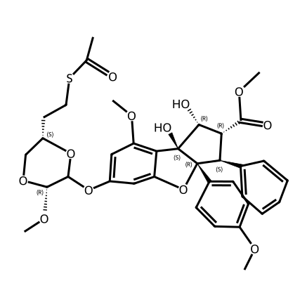 COC(=O)[C@H]1[C@@H](O)[C@@]2(O)c3c(OC)cc(OC4O[C@@H](CCSC(C)=O)CO[C@H]4OC)cc3O[C@@]2(c2ccc(OC)cc2)[C@@H]1c1ccccc1